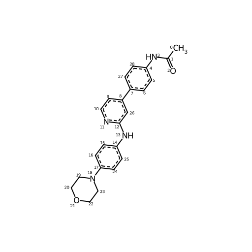 CC(=O)Nc1ccc(-c2ccnc(Nc3ccc(N4CCOCC4)cc3)c2)cc1